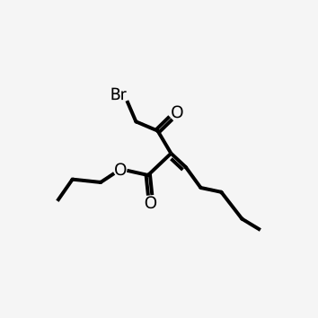 CCCCC=C(C(=O)CBr)C(=O)OCCC